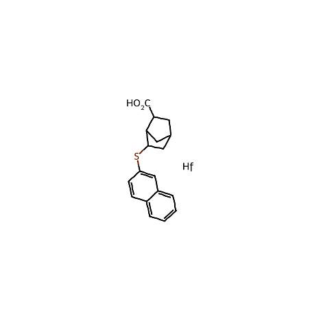 O=C(O)C1CC2CC(Sc3ccc4ccccc4c3)C1C2.[Hf]